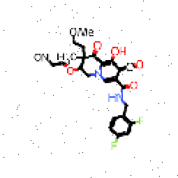 COCCC1(C)C(=O)C2=C(O)C(=C=O)C(C(=O)NCc3ccc(F)cc3F)=CN2CC1OCCN=O